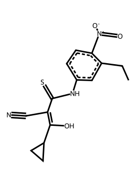 CCc1cc(NC(=S)C(C#N)=C(O)C2CC2)ccc1[N+](=O)[O-]